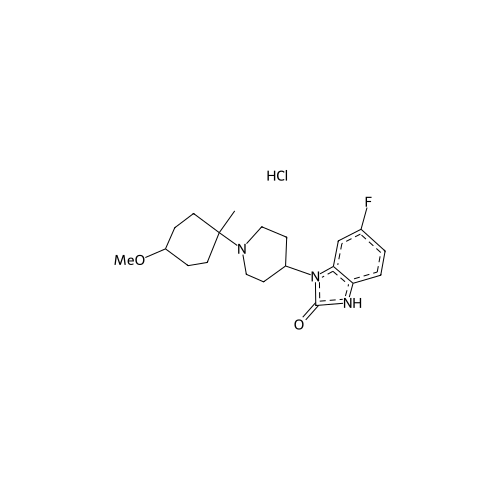 COC1CCC(C)(N2CCC(n3c(=O)[nH]c4ccc(F)cc43)CC2)CC1.Cl